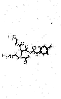 CCOC(=O)CC1C(=O)N(C(Cl)Cc2ccc(Cl)cc2)CC(=O)N1CCOC